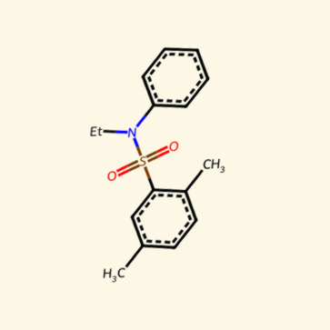 CCN(c1ccccc1)S(=O)(=O)c1cc(C)ccc1C